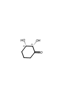 O=C1CCC[C@H](O)[C@@H]1O